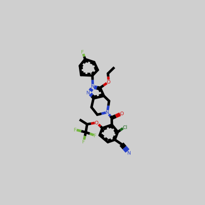 CCOc1c2c(nn1-c1ccc(F)cc1)CCN(C(=O)c1c(OC(C)C(F)(F)F)ccc(C#N)c1Cl)C2